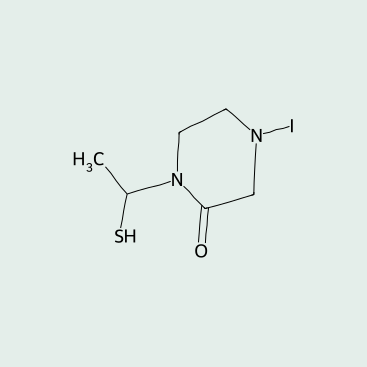 CC(S)N1CCN(I)CC1=O